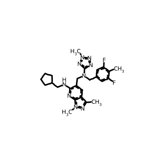 Cc1c(F)cc(CN(Cc2cc3c(C)nn(C)c3nc2NCC2CCCC2)c2nnn(C)n2)cc1F